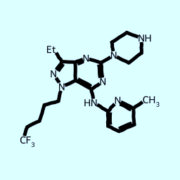 CCc1nn(CCCCC(F)(F)F)c2c(Nc3cccc(C)n3)nc(N3CCNCC3)nc12